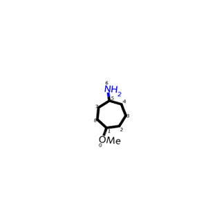 COC1CCCC(N)CC1